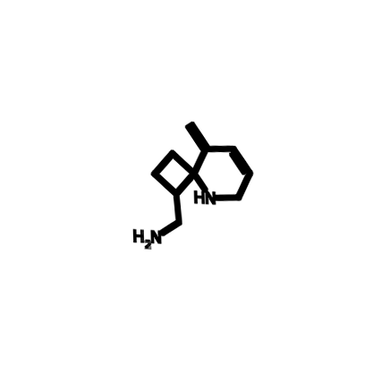 C=C1C=CCNC12CCC2CN